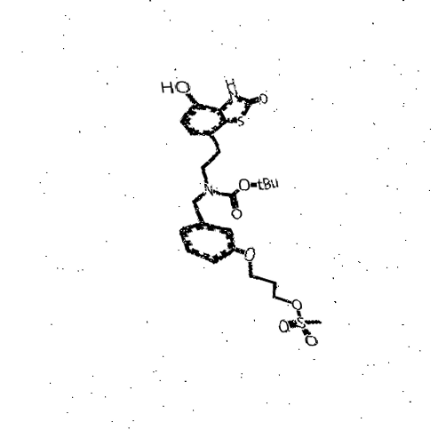 CC(C)(C)OC(=O)N(CCc1ccc(O)c2[nH]c(=O)sc12)Cc1cccc(OCCCOS(C)(=O)=O)c1